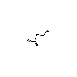 C[C](C)CCC(=O)C(C)(C)C